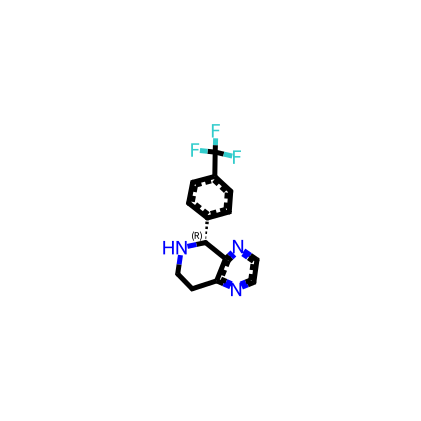 FC(F)(F)c1ccc([C@H]2NCCc3nccnc32)cc1